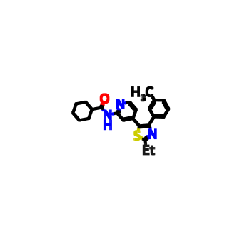 CCc1nc(-c2cccc(C)c2)c(-c2ccnc(NC(=O)C3CCCCC3)c2)s1